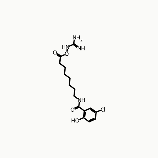 N=C(N)NOC(=O)CCCCCCCNC(=O)c1cc(Cl)ccc1O